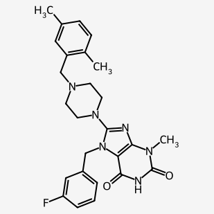 Cc1ccc(C)c(CN2CCN(c3nc4c(c(=O)[nH]c(=O)n4C)n3Cc3cccc(F)c3)CC2)c1